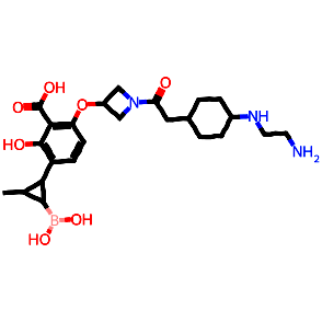 CC1C(B(O)O)C1c1ccc(OC2CN(C(=O)CC3CCC(NCCN)CC3)C2)c(C(=O)O)c1O